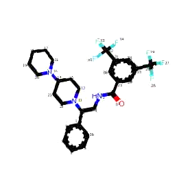 O=C(NCC(c1ccccc1)N1CCC(N2CCCCC2)CC1)c1cc(C(F)(F)F)cc(C(F)(F)F)c1